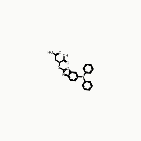 O=C(O)CC(Sc1nc2ccc(N(c3ccccc3)c3ccccc3)cc2o1)C(=O)O